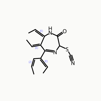 C/C=C\C(=C/C)C1=NC(SC#N)C(=O)NC(=C/C)/C1=C\C